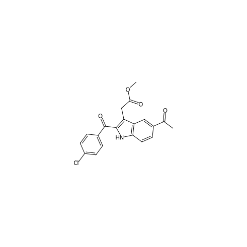 COC(=O)Cc1c(C(=O)c2ccc(Cl)cc2)[nH]c2ccc(C(C)=O)cc12